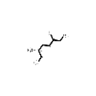 CCC(Cl)CC[C@@H](C)CC